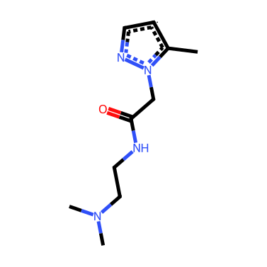 Cc1[c]cnn1CC(=O)NCCN(C)C